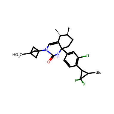 C[C@H]1CCC2(c3ccc(C4C(C(C)(C)C)C4(F)F)c(Cl)c3)NC(=O)N(C34CC(C(=O)O)(C3)C4)C=C2[C@@H]1C